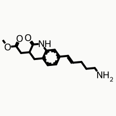 COC(=O)CC1Cc2ccc(C=CCCCN)cc2NC1=O